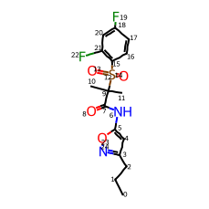 CCCc1cc(NC(=O)C(C)(C)S(=O)(=O)c2ccc(F)cc2F)on1